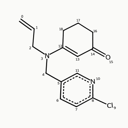 C=CCN(Cc1ccc(Cl)nc1)C1=CC(=O)CCC1